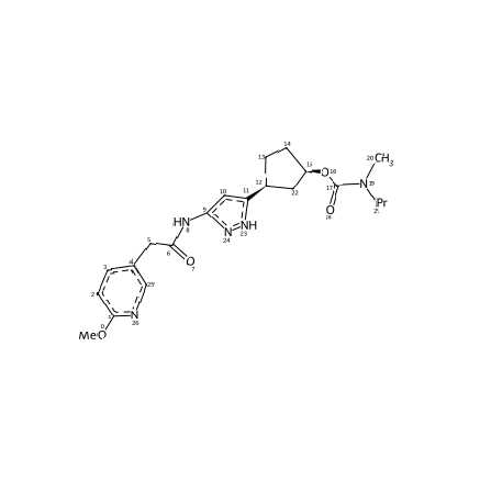 COc1ccc(CC(=O)Nc2cc([C@H]3CC[C@@H](OC(=O)N(C)C(C)C)C3)[nH]n2)cn1